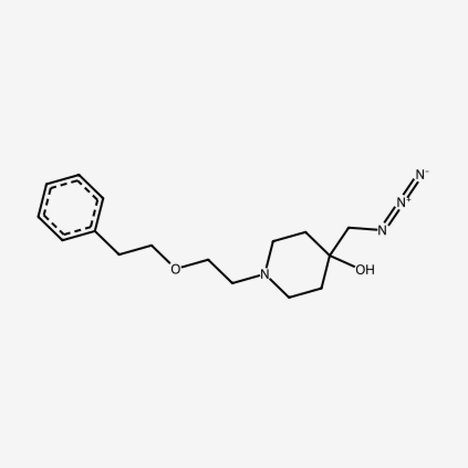 [N-]=[N+]=NCC1(O)CCN(CCOCCc2ccccc2)CC1